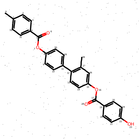 Cc1ccc(C(=O)Oc2ccc(-c3ccc(OC(=O)c4ccc(O)cc4)cc3C)cc2)cc1